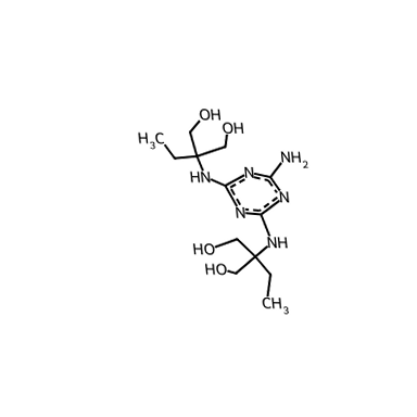 CCC(CO)(CO)Nc1nc(N)nc(NC(CC)(CO)CO)n1